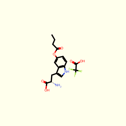 CCCC(=O)Oc1ccc2[nH]cc(C[C@H](N)C(=O)O)c2c1.O=C(O)C(F)(F)F